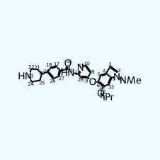 CNn1ccc2cc(Oc3ccnc(NC(=O)c4ccc(C5CCNCC5)cc4)c3)c(OC(C)C)cc21